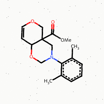 COC(=O)C12COC=CC1OCN(c1c(C)cccc1C)C2